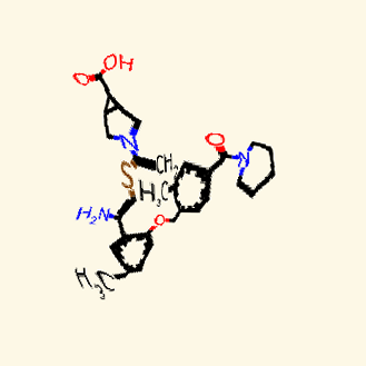 C=C(S/C=C(\N)c1cc(C)ccc1OCc1ccc(C(=O)N2CCCCC2)cc1C)N1CC2C(C1)C2C(=O)O